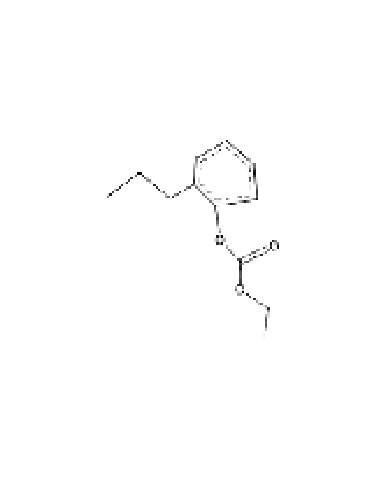 CCCc1ccccc1OC(=O)OCC